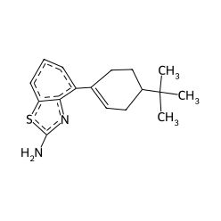 CC(C)(C)C1CC=C(c2cccc3sc(N)nc23)CC1